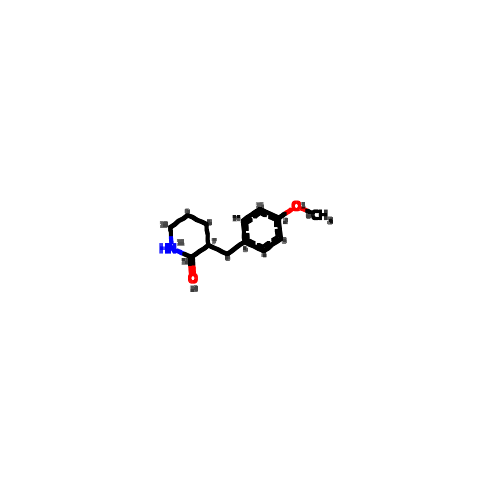 COc1ccc(CC2CCCNC2=O)cc1